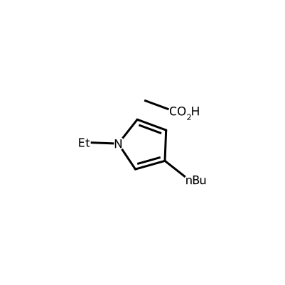 CC(=O)O.CCCCc1ccn(CC)c1